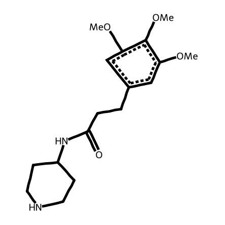 COc1cc(CCC(=O)NC2CCNCC2)cc(OC)c1OC